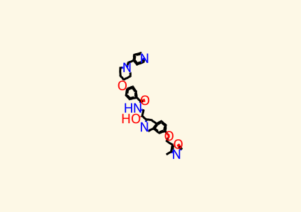 Cc1ncoc1COc1ccc2c(c1)C=NC([C@H](O)CNC(=O)c1ccc(OC3CCN(Cc4ccncc4)CC3)cc1)C2